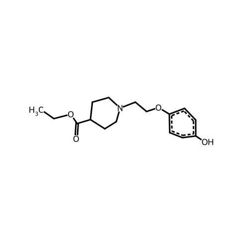 CCOC(=O)C1CCN(CCOc2ccc(O)cc2)CC1